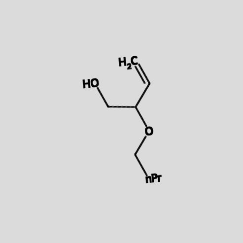 C=CC(CO)OCCCC